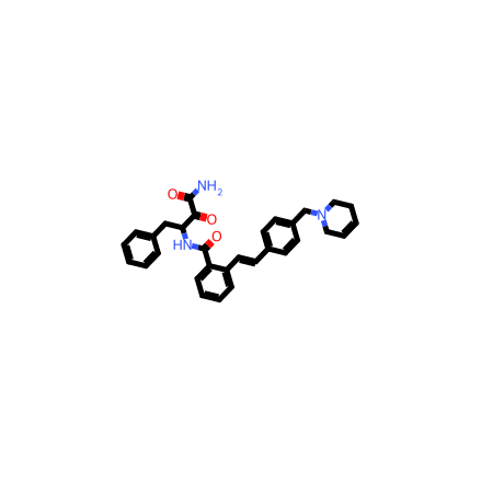 NC(=O)C(=O)C(Cc1ccccc1)NC(=O)c1ccccc1/C=C/c1ccc(CN2CC=CCC2)cc1